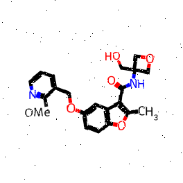 COc1ncccc1COc1ccc2oc(C)c(C(=O)NC3(CO)COC3)c2c1